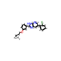 C=CCCOc1cccc(-c2nc3cc(-c4ccccc4F)cnc3[nH]2)c1